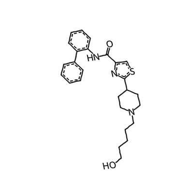 O=C(Nc1ccccc1-c1ccccc1)c1csc(C2CCN(CCCCCO)CC2)n1